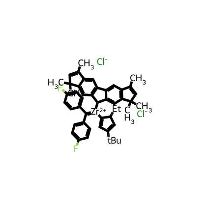 CCC1C=C(C(C)(C)C)C=[C]1[Zr+2](=[C](c1ccc(F)cc1)c1ccc(F)cc1)[CH]1c2cc3c(cc2-c2cc4c(cc21)C(C)(C)C=C4C)C(C)=CC3(C)C.[Cl-].[Cl-]